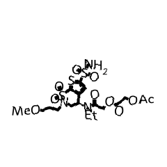 CCN(C(=O)COC(=O)COC(C)=O)[C@H]1CN(CCCOC)S(=O)(=O)c2sc(S(N)(=O)=O)cc21